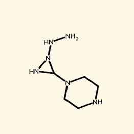 NNN1NC1N1CCNCC1